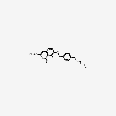 C=CCCc1ccc(COc2ccc3cc(CCCCCCCCCC)oc(=O)c3c2F)cc1